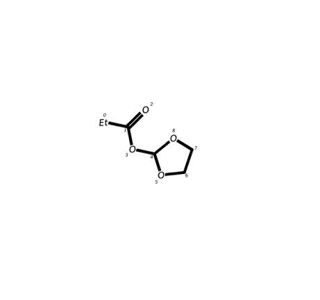 CCC(=O)OC1OCCO1